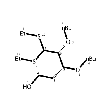 CCCCO[C@H](CCO)[C@@H](OCCCC)C(SCC)SCC